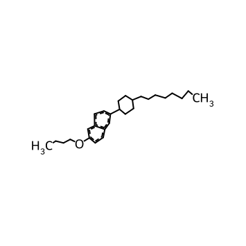 CCCCCCCCC1CCC(c2ccc3cc(OCCCC)ccc3c2)CC1